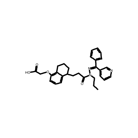 CCCN(N=C(c1ccccc1)c1cccnc1)C(=O)CCC1CCCc2c(OCC(=O)O)cccc21